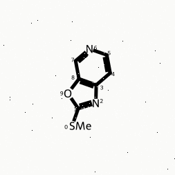 CSc1nc2ccncc2o1